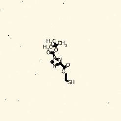 CC(C)(C)OC(=O)n1cnc(C(=O)OCCS)n1